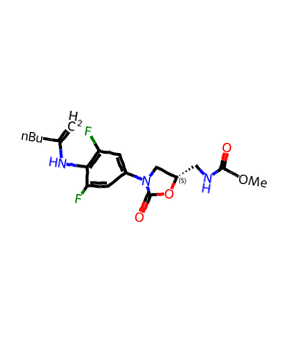 C=C(CCCC)Nc1c(F)cc(N2C[C@H](CNC(=O)OC)OC2=O)cc1F